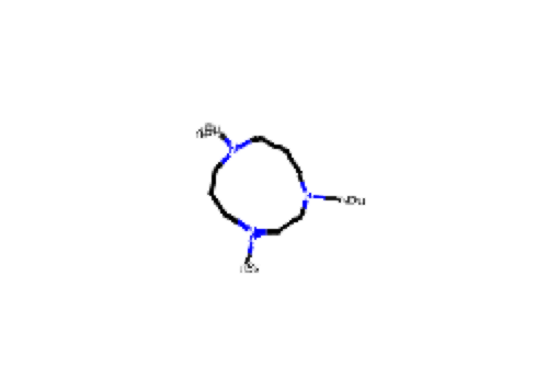 CCCCN1CCCN(CCCC)CCN(CCCC)CCC1